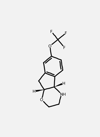 FC(F)(F)Oc1ccc2c(c1)C[C@H]1OCCN[C@@H]21